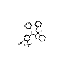 N#Cc1ccc(NC(=O)C(O)(Cc2ccccc2-c2ccncc2)C2CCCCC2)cc1C(F)(F)F